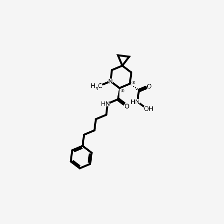 CN1CC2(CC2)C[C@H](C(=O)NO)[C@H]1C(=O)NCCCCc1ccccc1